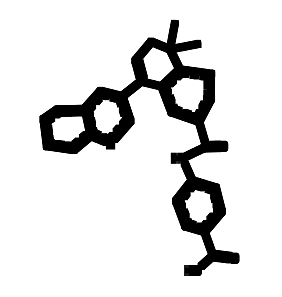 CC1(C)CC=C(c2cnc3ccccc3c2)c2cc(C(=O)Nc3ccc(C(=O)O)cc3)ccc21